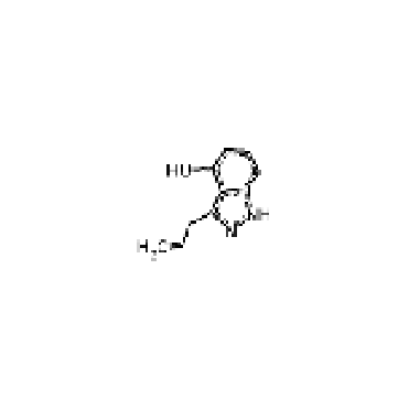 C=CCc1n[nH]c2cccc(O)c12